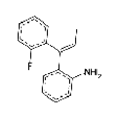 CC=C(c1ccccc1N)c1ccccc1F